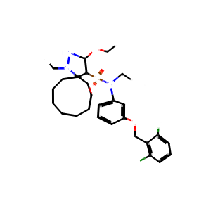 CCOC1NN(CC)C2(CCCCCCCC2)C1S(=O)(=O)N(CC)c1cccc(OCc2c(F)cccc2Cl)c1